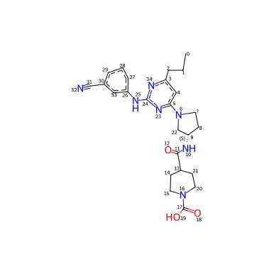 CCCc1cc(N2CC[C@H](NC(=O)C3CCN(C(=O)O)CC3)C2)nc(Nc2cccc(C#N)c2)n1